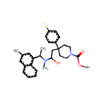 CC(c1cc(C#N)cc2ccccc12)N(C)C(O)CC1(c2ccc(F)cc2)CCN(C(=O)OC(C)(C)C)CC1